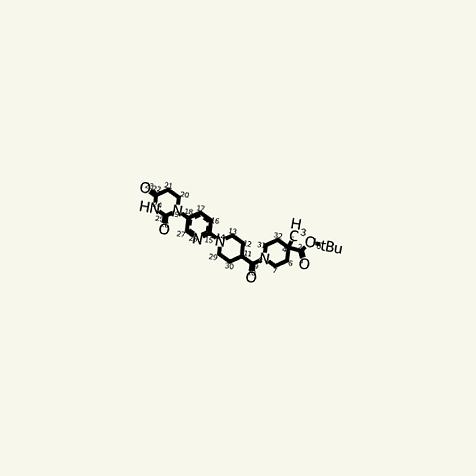 CC(C)(C)OC(=O)C1(C)CCN(C(=O)C2CCN(c3ccc(N4CCC(=O)NC4=O)cn3)CC2)CC1